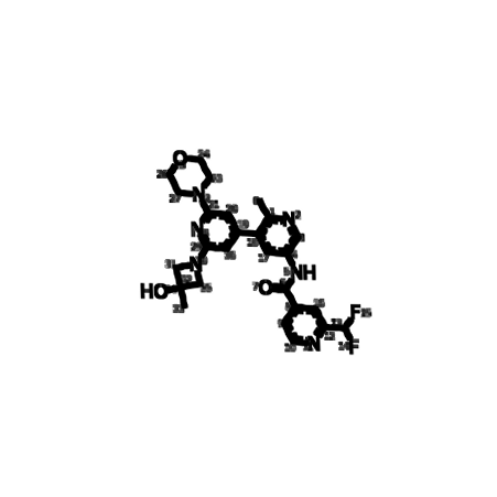 Cc1ncc(NC(=O)c2ccnc(C(F)F)c2)cc1-c1cc(N2CCOCC2)nc(N2CC(C)(O)C2)c1